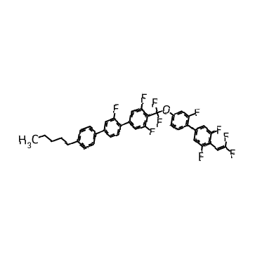 CCCCCc1ccc(-c2ccc(-c3cc(F)c(C(F)(F)Oc4ccc(-c5cc(F)c(C=C(F)F)c(F)c5)c(F)c4)c(F)c3)c(F)c2)cc1